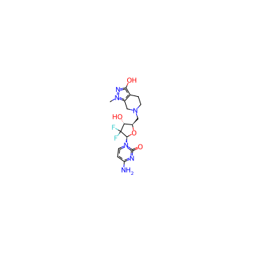 Cn1nc(O)c2c1CN(C[C@H]1O[C@@H](n3ccc(N)nc3=O)C(F)(F)[C@@H]1O)CC2